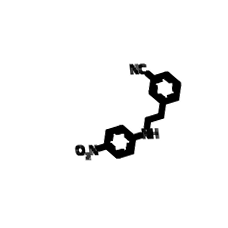 N#Cc1cccc(CCNc2ccc([N+](=O)[O-])cc2)c1